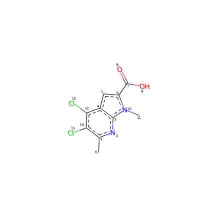 Cc1nc2c(cc(C(=O)O)n2C)c(Cl)c1Cl